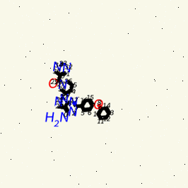 Nc1nc(-c2ccc(Oc3ccccc3)cc2)nc2c1cnn2[C@@H]1CCCN(C(=O)c2cncnc2)C1